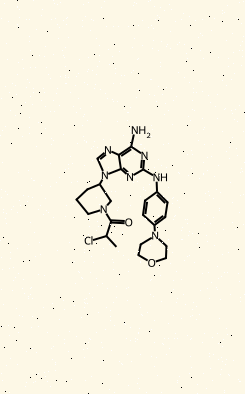 CC(Cl)C(=O)N1CCCC(n2cnc3c(N)nc(Nc4ccc(N5CCOCC5)cc4)nc32)C1